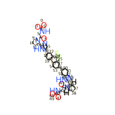 COC(=O)NCC(=O)N1CCCC1c1ncc(-c2ccc3c(c2)C(F)(F)c2cc(-c4ccc5nc(C6[C@H]7CC[C@H](C7)N6C(=O)CNC(=O)OC)[nH]c5c4)ccc2-3)[nH]1